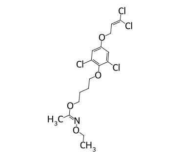 CCON=C(C)OCCCCOc1c(Cl)cc(OCC=C(Cl)Cl)cc1Cl